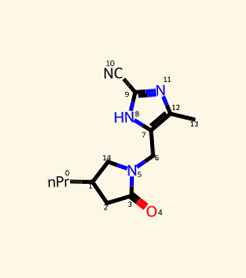 CCCC1CC(=O)N(Cc2[nH]c(C#N)nc2C)C1